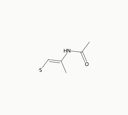 CC(=O)N/C(C)=C/[S]